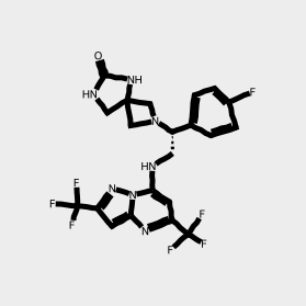 O=C1NCC2(CN([C@@H](CNc3cc(C(F)(F)F)nc4cc(C(F)(F)F)nn34)c3ccc(F)cc3)C2)N1